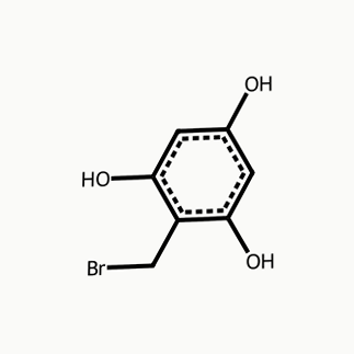 Oc1cc(O)c(CBr)c(O)c1